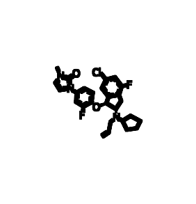 C=CCN(C1CCCC1)[C@H]1Cc2c(F)cc(Cl)cc2[C@@H]1Oc1ccc(-n2ccn(C)c2=O)cc1F